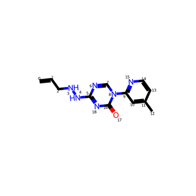 C=CCNNc1ncn(-c2cc(C)ccn2)c(=O)n1